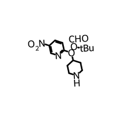 CC(C)(C)OC=O.O=[N+]([O-])c1ccc(OC2CCNCC2)nc1